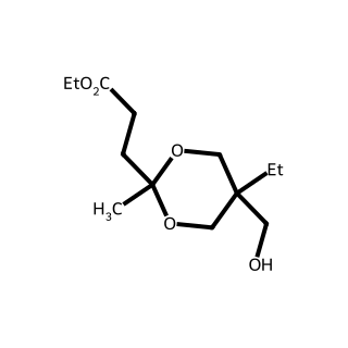 CCOC(=O)CCC1(C)OCC(CC)(CO)CO1